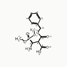 COP(=O)(OC)C(N)C(C(=O)O)C(=O)OCc1ccccc1